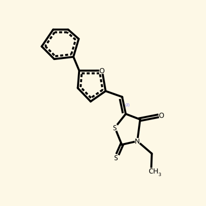 CCN1C(=O)/C(=C/c2ccc(-c3ccccc3)o2)SC1=S